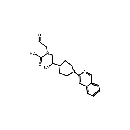 NC(CN(CC=O)C(=O)O)C1CCN(c2cc3ccccc3cn2)CC1